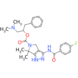 CN(C)CC(Cc1ccccc1)OC(=O)N1Cc2c(NC(=O)c3ccc(F)cc3)n[nH]c2C1(C)C